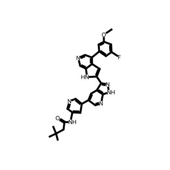 COc1cc(F)cc(-c2cncc3[nH]c(-c4n[nH]c5ncc(-c6cncc(NC(=O)CC(C)(C)C)c6)cc45)cc23)c1